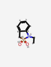 CCN1c2cc[c]cc2CS1(=O)=O